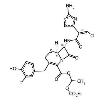 CCOC(=O)OC(C)OC(=O)C1=C(Cc2ccc(O)c(F)c2)CS[C@H]2[C@H](NC(=O)/C(=C\Cl)c3csc(N)n3)C(=O)N12